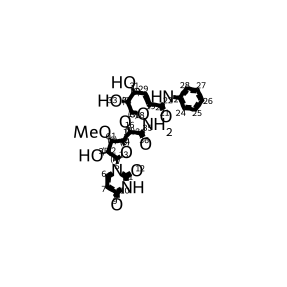 CO[C@H]1[C@@H](O)[C@H](n2ccc(=O)[nH]c2=O)O[C@@H]1[C@@H](O[C@H]1OC(C(=O)Nc2ccccc2)=C[C@H](O)[C@@H]1O)C(N)=O